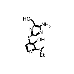 CCN(C)c1nccc(Sc2cnc(N)c(CO)n2)c1O